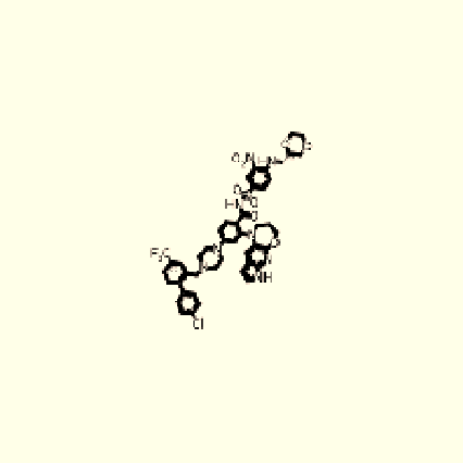 O=C(NS(=O)(=O)c1ccc(NC[C@H]2COCCO2)c([N+](=O)[O-])c1)c1ccc(N2CCN(CC3=C(c4ccc(Cl)cc4)CC[C@H](C(F)(F)F)C3)CC2)cc1N1CCCOc2nc3[nH]ccc3cc21